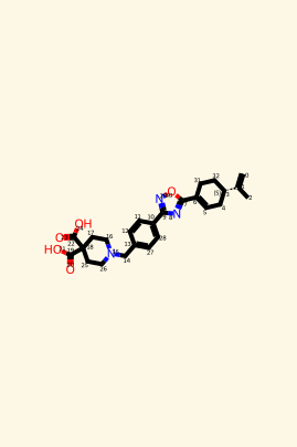 C=C(C)[C@@H]1CC=C(c2nc(-c3ccc(CN4CCC(C(=O)O)(C(=O)O)CC4)cc3)no2)CC1